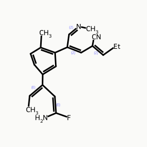 C/C=C(\C=C(/N)F)c1ccc(C)c(C(/C=N\C)=C/C(C#N)=C/CC)c1